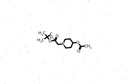 CC(=O)OC1CCN(CC(=O)OC(C)(C)C)CC1